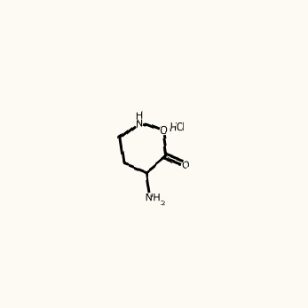 Cl.NC1CCNOC1=O